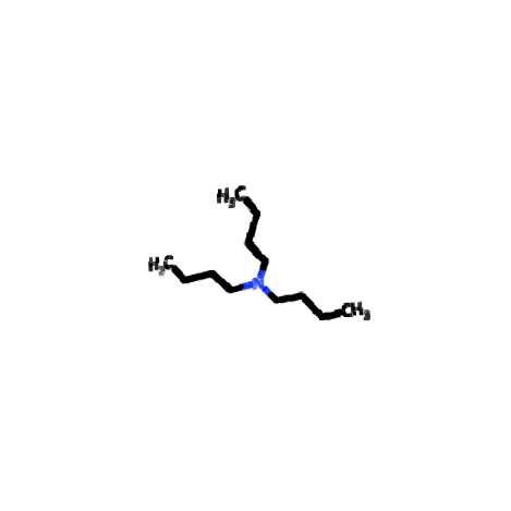 CC[CH]CN(CCCC)CCCC